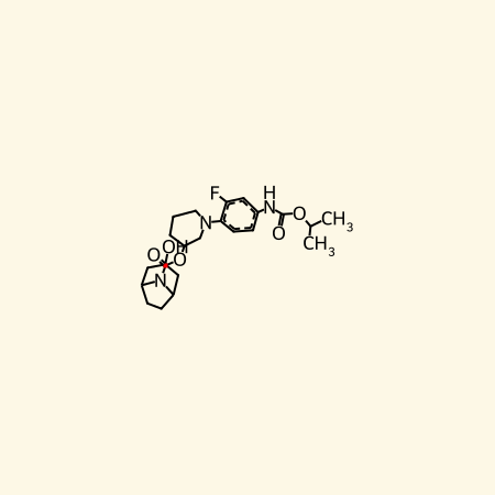 CC(C)OC(=O)Nc1ccc(N2CCCC(OC(=O)N3C4CCC3CC(O)C4)C2)c(F)c1